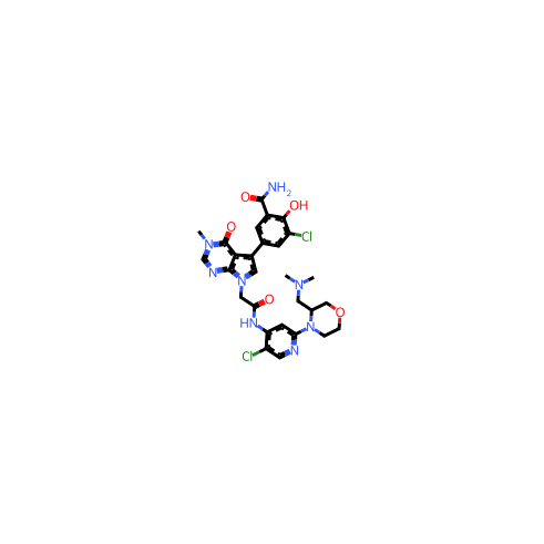 CN(C)CC1COCCN1c1cc(NC(=O)Cn2cc(-c3cc(Cl)c(O)c(C(N)=O)c3)c3c(=O)n(C)cnc32)c(Cl)cn1